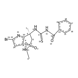 CNS(=O)(=O)C[C@](C)(NC(=S)NC(=O)c1ccccc1)c1nc(Br)cs1